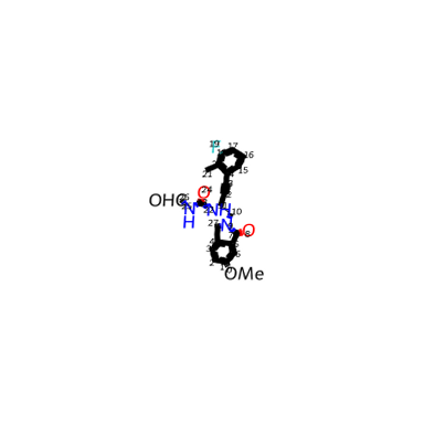 COc1ccc2c(c1)C(=O)N(C[C@@H](C#Cc1cccc(F)c1C)NC(=O)NC=O)C2